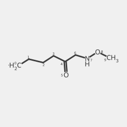 [CH2]CCCC(=O)CNOC